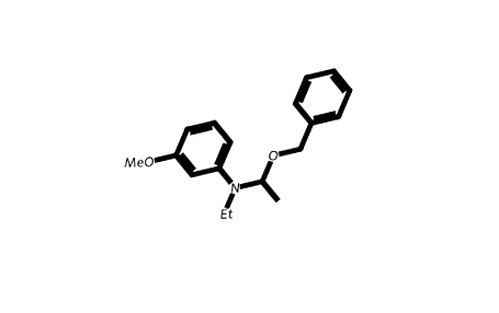 CCN(c1cccc(OC)c1)C(C)OCc1ccccc1